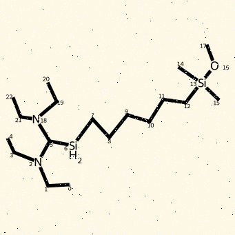 CCN(CC)C([SiH2]CCCCCC[Si](C)(C)OC)N(CC)CC